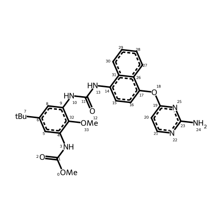 COC(=O)Nc1cc(C(C)(C)C)cc(NC(=O)Nc2ccc(Oc3ccnc(N)n3)c3ccccc23)c1OC